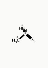 B=[SH](C)=S